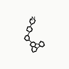 c1cc(-c2ccc(-c3ccncc3)cc2)cc(-c2cc3c4c(cccc4c2)-c2ccccc2-3)c1